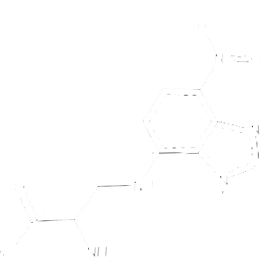 NC(CNc1ccc([N+](=O)[O-])c2nonc12)C(=O)O